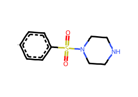 O=S(=O)(c1cc[c]cc1)N1CCNCC1